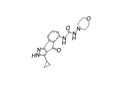 O=C(Nc1cccc2c1C(=O)c1c-2n[nH]c1C1CC1)NN1CCOCC1